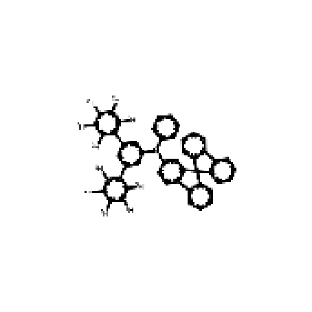 [2H]c1c([2H])c([2H])c(-c2cc(-c3c([2H])c([2H])c([2H])c([2H])c3[2H])cc(N(c3ccccc3)c3ccc4c(c3)C3(c5ccccc5-c5ccccc53)c3ccccc3-4)c2)c([2H])c1[2H]